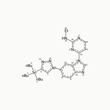 CCC[CH2][Sn]([CH2]CCC)([CH2]CCC)[c]1cn(-c2ccc3ncn(-c4ccnc(NCC)n4)c3c2)nn1